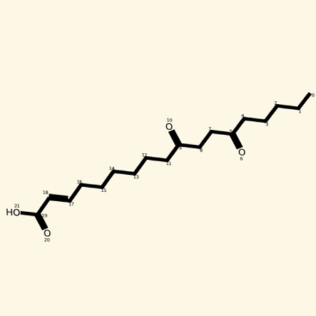 CCCCCC(=O)CCC(=O)CCCCCCC=CC(=O)O